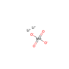 [Li+].[Li+].[O]=[Mo](=[O])([O-])[O-]